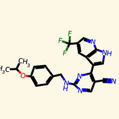 CC(C)Oc1ccc(CNc2ncc(C#N)c(-c3c[nH]c4ncc(C(F)(F)F)cc34)n2)cc1